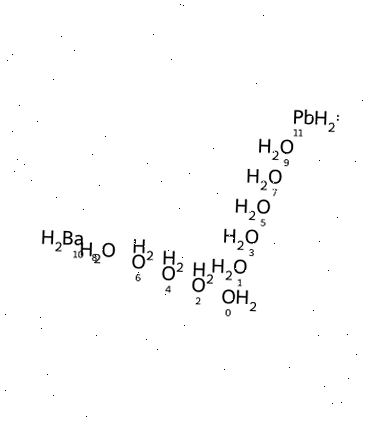 O.O.O.O.O.O.O.O.O.O.[BaH2].[PbH2]